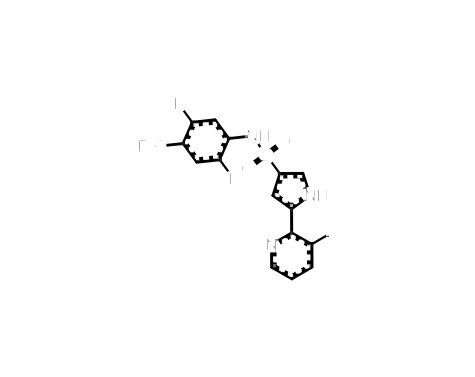 O=S(=O)(Nc1cc(F)c(C(F)(F)F)cc1F)c1c[nH]c(-c2ncccc2F)c1